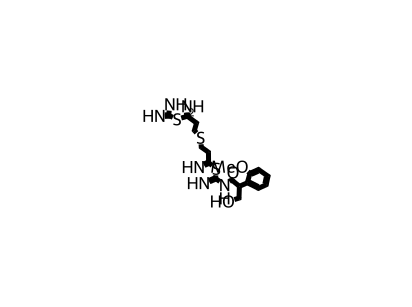 COc1ccccc1C(CO)C(=O)NC(=N)SC(=N)CCSCCC(=N)SC(=N)N